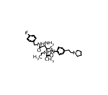 CCN(C(C)=O)C(SNc1ccc(CCN2CCCC2)cc1)[C@H](N)C(=O)NCc1ccc(F)cc1